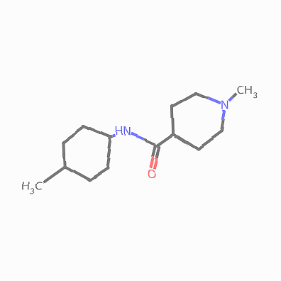 CC1CCC(NC(=O)C2CCN(C)CC2)CC1